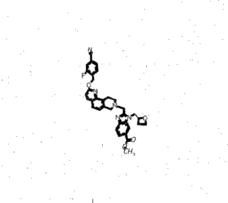 COC(=O)c1ccc2nc(CN3CCc4c(ccc5ccc(OCc6ccc(C#N)cc6F)nc45)C3)n(C[C@@H]3CCO3)c2c1